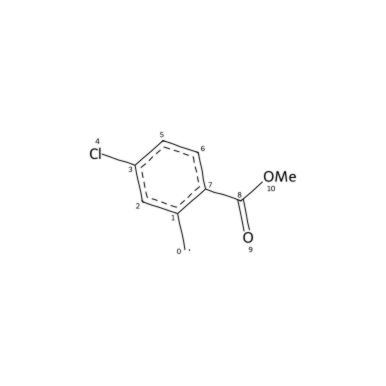 [CH2]c1cc(Cl)ccc1C(=O)OC